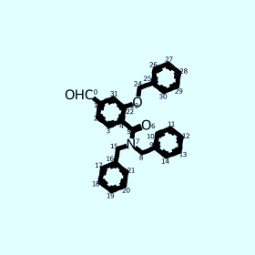 O=Cc1ccc(C(=O)N(Cc2ccccc2)Cc2ccccc2)c(OCc2ccccc2)c1